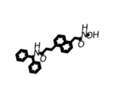 O=C(Cc1cccc2c(CCC(=O)NC(c3ccccc3)c3ccccc3)cccc12)NO